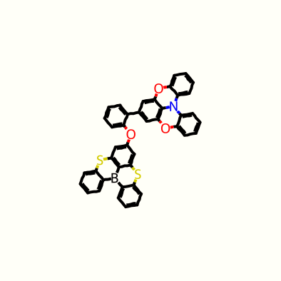 c1ccc(-c2cc3c4c(c2)Oc2ccccc2N4c2ccccc2O3)c(Oc2cc3c4c(c2)Sc2ccccc2B4c2ccccc2S3)c1